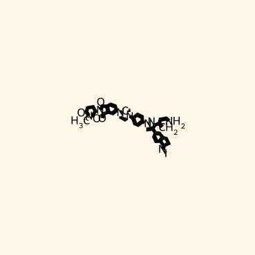 C=C(/C=C\N)c1nn(-c2ccc(N3CCN(c4ccc5c(c4)C(=O)N(C4CCC(=O)N(C)C4=O)C5=O)CC3)cc2)cc1-c1ccc2c(c1)CC/C2=N\I